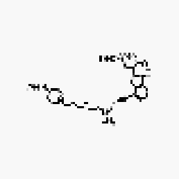 CNC(=O)C(CCC=O)N1Cc2c(C#CCCN(C)CCOCCCN3CCC(NC)CC3)cccc2C1=O